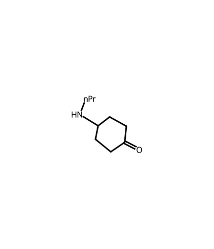 CCCNC1CCC(=O)CC1